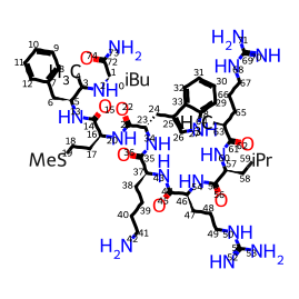 CC[C@H](C)[C@H](NC(C)[C@H](Cc1ccccc1)NC(=O)[C@H](CCSC)NC(=O)[C@H](Cc1c[nH]c2ccccc12)NC(=O)[C@H](CCCCN)NC(=O)[C@H](CCCNC(=N)N)NC(=O)[C@H](CC(C)C)NC(=O)[C@@H](C)CCCNC(=N)N)C(N)=O